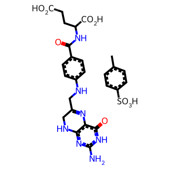 Cc1ccc(S(=O)(=O)O)cc1.Nc1nc2c(c(=O)[nH]1)N=C(CNc1ccc(C(=O)NC(CCC(=O)O)C(=O)O)cc1)CN2